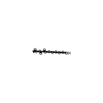 C=C(C)C(=O)OCCOC(=O)CCC(=O)OCCOCCOCCOCCOCCOCCO